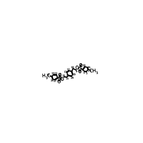 Cc1ccc(S(=O)(=O)OCCc2ccc(CCOS(=O)(=O)c3ccc(C)cc3)cc2)cc1